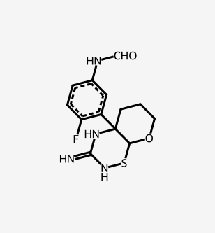 N=C1NSC2OCCCC2(c2cc(NC=O)ccc2F)N1